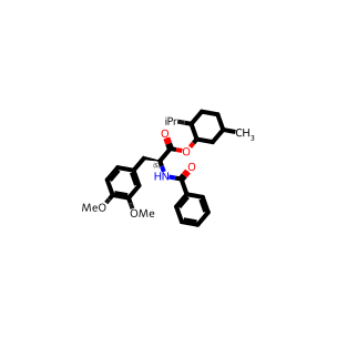 COc1ccc(C[C@H](NC(=O)c2ccccc2)C(=O)OC2CC(C)CCC2C(C)C)cc1OC